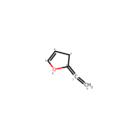 C=C=C1CC=CO1